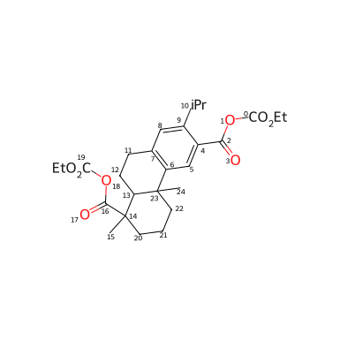 CCOC(=O)OC(=O)c1cc2c(cc1C(C)C)CCC1C(C)(C(=O)OC(=O)OCC)CCCC21C